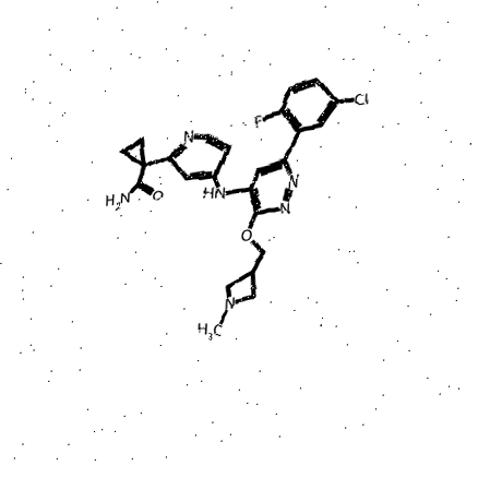 CN1CC(COc2nnc(-c3cc(Cl)ccc3F)cc2Nc2ccnc(C3(C(N)=O)CC3)c2)C1